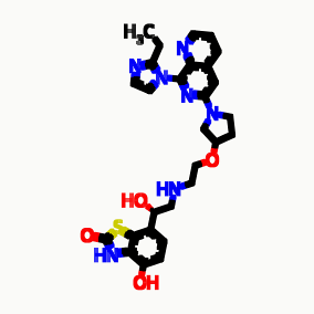 CCc1nccn1-c1nc(N2CCC(OCCNC[C@H](O)c3ccc(O)c4[nH]c(=O)sc34)C2)cc2cccnc12